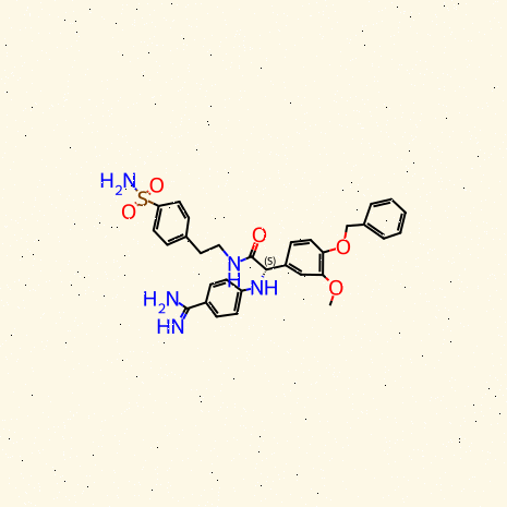 COc1cc([C@H](Nc2ccc(C(=N)N)cc2)C(=O)NCCc2ccc(S(N)(=O)=O)cc2)ccc1OCc1ccccc1